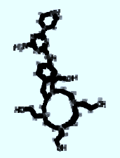 Nc1nc(Nc2ccc(CC3CN(CCO)CCN(CCO)CCN(CCO)CCN3CCO)cc2)nc(N2CCNCC2)n1